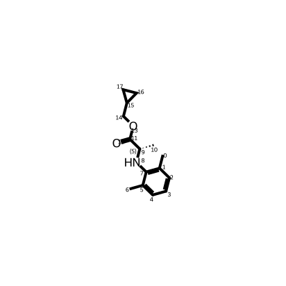 Cc1cccc(C)c1N[C@@H](C)C(=O)OCC1CC1